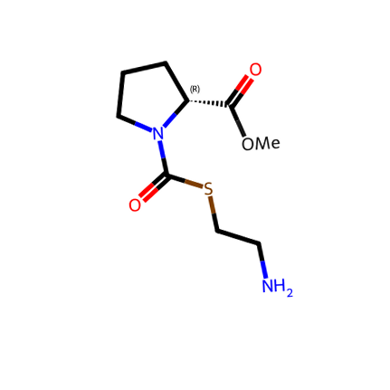 COC(=O)[C@H]1CCCN1C(=O)SCCN